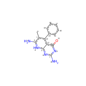 Cc1c(N)[nH]c2nc(N)nc(=O)c-2c1-c1ccccc1